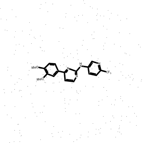 COc1ccc(-c2ccnc(Nc3ccc(C(F)(F)F)nc3)n2)cc1OC